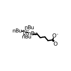 CCCCCC(=O)[O-].CCCC[N+](CCCC)(CCCC)CCCC